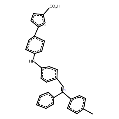 Cc1ccc(/C(=C/c2ccc(Nc3ccc(-c4ccc(C(=O)O)s4)cc3)cc2)c2ccccc2)cc1